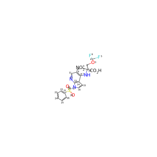 CC(COC(F)F)(Nc1c([N+](=O)[O-])cnc2c1ccn2S(=O)(=O)c1ccccc1)C(=O)O